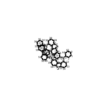 c1ccc(N(c2ccccc2)c2cccc3sc4ccc(N(c5ccc6sc7cccc(N(c8ccccc8)c8ccccc8)c7c6c5)c5cccc6c5oc5ccccc56)cc4c23)cc1